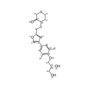 Cc1cc(-c2noc(CCC3CCCCC3=O)n2)cc(C)c1OC[C@H](O)CO